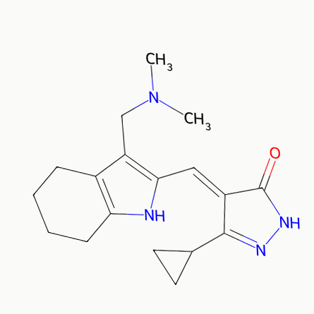 CN(C)Cc1c(C=C2C(=O)NN=C2C2CC2)[nH]c2c1CCCC2